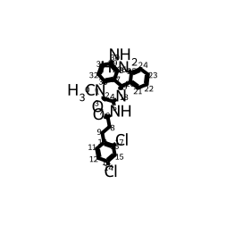 CN1C(=O)C(NC(=O)CCc2ccc(Cl)cc2Cl)N=C(c2ccccc2N)c2cc(N)ccc21